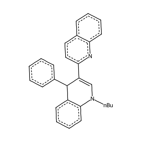 CCCCN1C=C(c2ccc3ccccc3n2)C(c2ccccc2)c2ccccc21